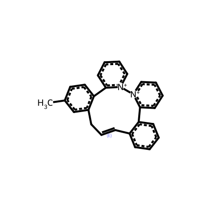 Cc1ccc2c(c1)C/C=C/c1ccccc1-c1cccc[n+]1-[n+]1ccccc1-2